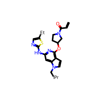 C=CC(=O)N1CCC(Oc2nc(Nc3ncc(CC)s3)cc3c2ccn3CC(C)C)C1